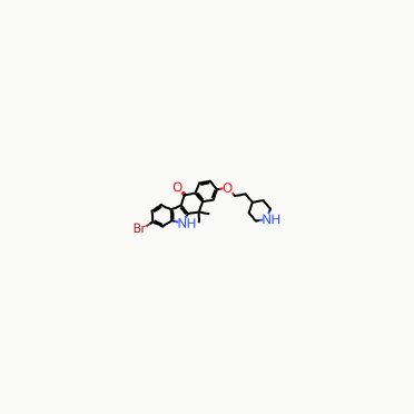 CC1(C)c2cc(OCCC3CCNCC3)ccc2C(=O)c2c1[nH]c1cc(Br)ccc21